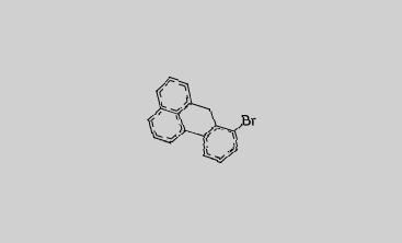 Brc1cccc2c1Cc1cccc3cccc-2c13